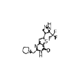 O=c1[nH]c(CN2CCCC2)nc2cc(-c3cn[nH]c3C(F)(F)F)sc12